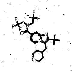 CC(C)(C)c1nc2cc(C(=O)N(CC(F)(F)F)CC(F)(F)F)ccn2c1CC1CCOCC1